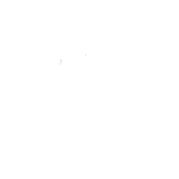 CCC(=O)C1CCN(I)CC1